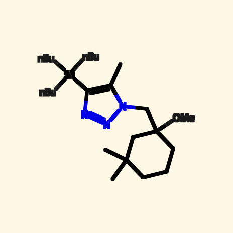 CCC[CH2][Sn]([CH2]CCC)([CH2]CCC)[c]1nnn(CC2(OC)CCCC(C)(C)C2)c1C